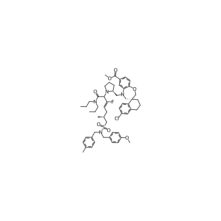 CCCN(CCC)C(=O)C(/C(F)=C/C[C@H](C)CS(=O)(=O)N(Cc1ccc(C)cc1)Cc1ccc(OC)cc1)N1CCC[C@H]1CN1C[C@@]2(CCCc3cc(Cl)ccc32)COc2ccc(C(=O)OC)cc21